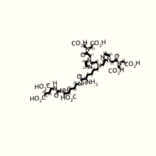 N[C@@H](CCCCN(Cc1nccn1CC(=O)N(CC(=O)O)CC(=O)O)Cc1nccn1CC(=O)N(CC(=O)O)CC(=O)O)C(=O)NCCCC[C@H](NC(=O)N[C@@H](CCC(=O)O)C(=O)O)C(=O)O